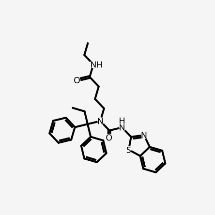 CCNC(=O)CCCN(C(=O)Nc1nc2ccccc2s1)C(CC)(c1ccccc1)c1ccccc1